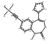 CN1C(=O)CN=C(c2cccs2)c2cc(C#C[Si](C)(C)C)ccc21